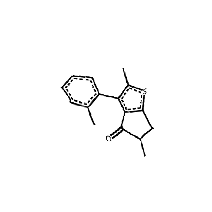 Cc1ccccc1-c1c(C)sc2c1C(=O)C(C)C2